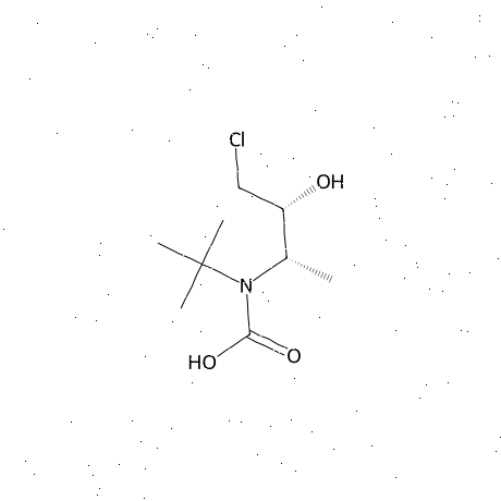 C[C@@H]([C@@H](O)CCl)N(C(=O)O)C(C)(C)C